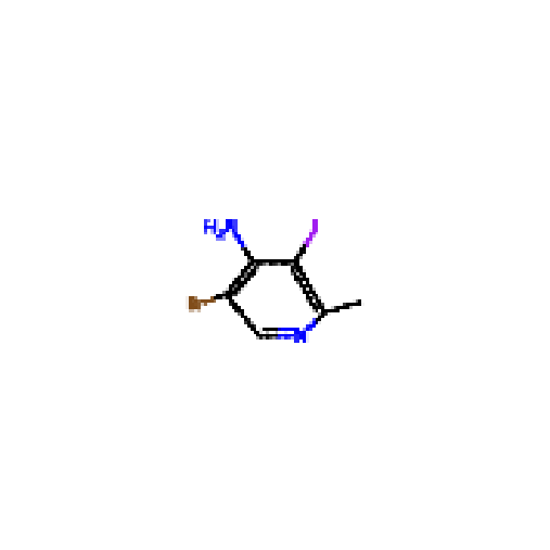 Cc1ncc(Br)c(N)c1I